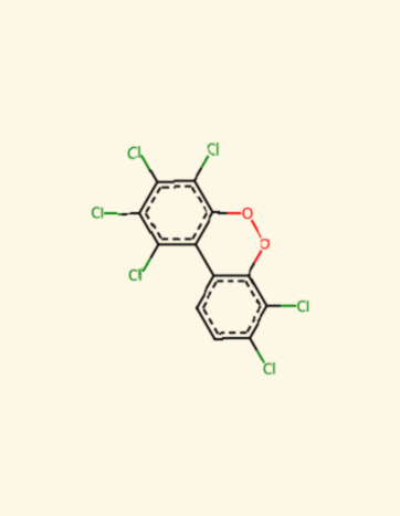 Clc1ccc2c(c1Cl)OOc1c(Cl)c(Cl)c(Cl)c(Cl)c1-2